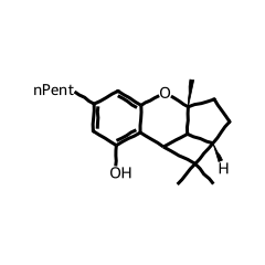 CCCCCc1cc(O)c2c(c1)O[C@]1(C)CC[C@H]3C1C2C3(C)C